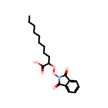 CCCCCCCCCC(OON1C(=O)c2ccccc2C1=O)C(=O)O